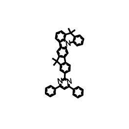 CC1(C)c2cc(-c3nc(-c4ccccc4)cc(-c4ccccc4)n3)ccc2-c2cc3c(cc21)c1cccc2c1n3-c1ccccc1C2(C)C